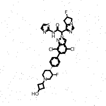 O=C(Nc1nccs1)C(c1ncn2c1C[C@@H](F)C2)n1cc2c(Cl)cc(-c3ccc([C@H]4CCN(C5CC(O)C5)C[C@@H]4F)cc3)c(Cl)c2n1